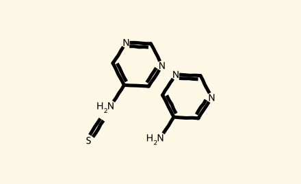 C=S.Nc1cncnc1.Nc1cncnc1